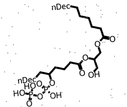 CCCCCCCCCCCCCCCC(=O)OCC(CO)OC(=O)CCCC(CCCCCCCCCCC)OP(=O)(O)OP(=O)(O)O